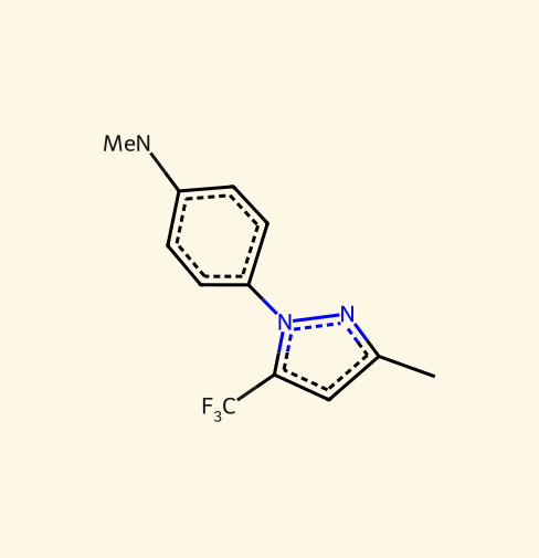 CNc1ccc(-n2nc(C)cc2C(F)(F)F)cc1